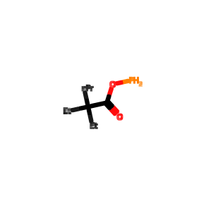 CCCC(CC)(CC)C(=O)OP